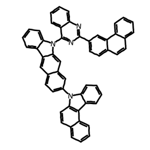 c1ccc2c(c1)ccc1ccc(-c3nc(-n4c5ccccc5c5cc6ccc(-n7c8ccccc8c8c9ccccc9ccc87)cc6cc54)c4ccccc4n3)cc12